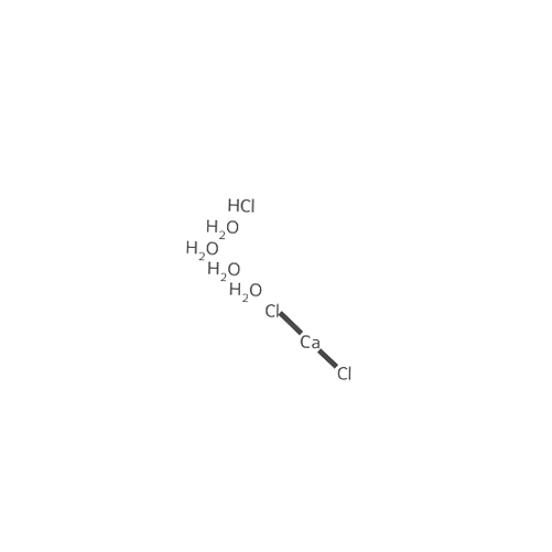 Cl.O.O.O.O.[Cl][Ca][Cl]